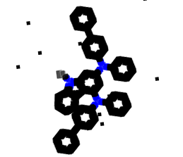 CCn1c2ccccc2c2c(N(c3ccccc3)c3ccc(-c4ccccc4)cc3)cc(N(c3ccccc3)c3ccc(-c4ccccc4)cc3)cc21